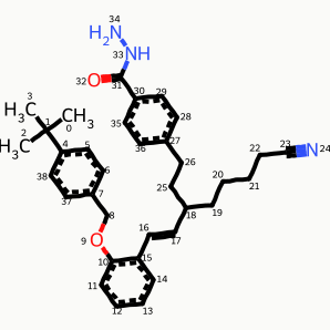 CC(C)(C)c1ccc(COc2ccccc2C=CC(CCCCC#N)CCc2ccc(C(=O)NN)cc2)cc1